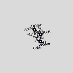 COC=Nc1cc(C(=O)OC)c(/N=N/c2cc(S(=O)(=O)O)c(N)c(/N=N/c3cc(C(=O)OC)c(NC(C)=O)cc3C(=O)OC)c2N)cc1C(=O)OC